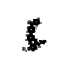 CCOC(=O)C1=Cc2cc(-c3ccc(C(=O)N4CCCC4)cc3)ccc2N=C2C1CCN2N